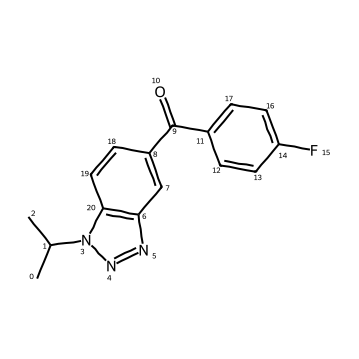 CC(C)n1nnc2cc(C(=O)c3ccc(F)cc3)ccc21